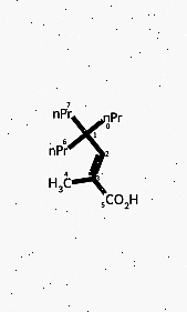 CCCC(C=C(C)C(=O)O)(CCC)CCC